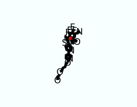 CN(C(=S)N(c1ccc(-c2ccc(OCCCCOCC=O)nc2)nc1)C(C)(C)C=O)c1ccc(C#N)c(C(F)(F)F)c1F